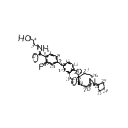 O=C(NCCO)c1ccc(-c2ccc3c(c2)COC2(CCN(C4CCC4)CC2)O3)cc1F